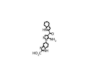 Nc1c(C(=O)c2cc3ccccc3[nH]2)cnn1-c1ccc2[nH]c(C(=O)O)nc2c1